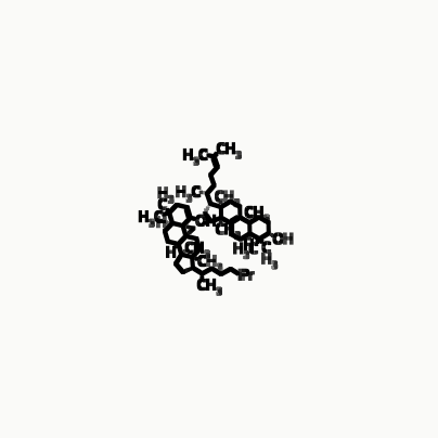 CC(C)=CCC[C@@H](C)[C@H]1CC[C@@]2(C)C3=C(CC[C@]12C)[C@@]1(C)CC[C@H](O)C(C)(C)[C@@H]1CC3.CC(C)CCC[C@@H](C)[C@H]1CC[C@@]2(C)[C@@H]3CC[C@H]4C(C)(C)CC=C(O)[C@@]45C[C@@]35CC[C@]12C